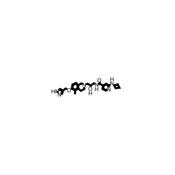 Cc1c(OCc2cn[nH]c2)ccc2c1CCN(CC(O)CNC(=O)c1ccnc(NC3CCC3)c1)C2